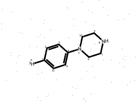 [3H]c1ccc(N2CCNCC2)cc1